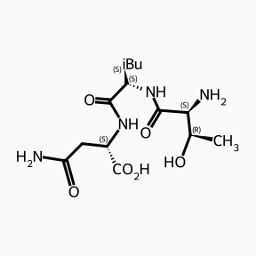 CC[C@H](C)[C@H](NC(=O)[C@@H](N)[C@@H](C)O)C(=O)N[C@@H](CC(N)=O)C(=O)O